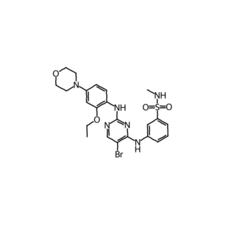 CCOc1cc(N2CCOCC2)ccc1Nc1ncc(Br)c(Nc2cccc(S(=O)(=O)NC)c2)n1